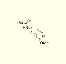 COc1cc(CCNC(=O)C(C)(C)C)ccn1